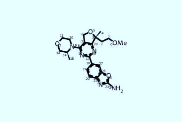 COCC[C@@]1(C)OCc2c(N3CCOC[C@@H]3C)nc(-c3ccc4nc(N)oc4c3)nc21